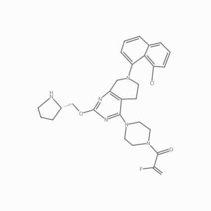 C=C(F)C(=O)N1CCN(c2nc(OC[C@@H]3CCCN3)nc3c2CCN(c2cccc4cccc(Cl)c24)C3)CC1